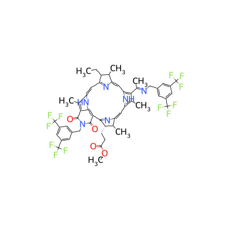 CCC1c2cc3[nH]c4c(c5nc(cc6[nH]c(cc(n2)C1C)c(/C(C)=N/Cc1cc(C(F)(F)F)cc(C(F)(F)F)c1)c6C)C(C)[C@@H]5CCC(=O)OC)C(=O)N(Cc1cc(C(F)(F)F)cc(C(F)(F)F)c1)C(=O)c4c3C